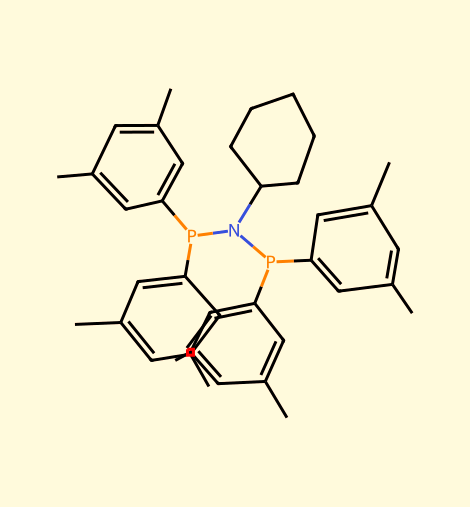 Cc1cc(C)cc(P(c2cc(C)cc(C)c2)N(C2CCCCC2)P(c2cc(C)cc(C)c2)c2cc(C)cc(C)c2)c1